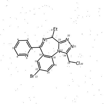 CCC1N=C(c2ccccn2)c2cc(Br)ccc2-n2c(CCl)nnc21